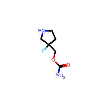 NC(=O)OCC1(F)CCNC1